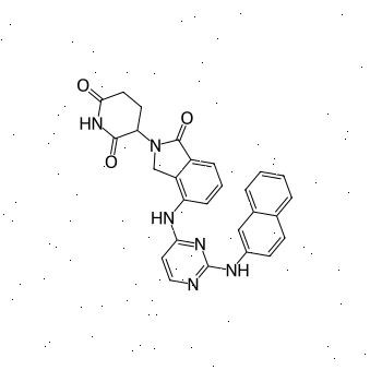 O=C1CCC(N2Cc3c(Nc4ccnc(Nc5ccc6ccccc6c5)n4)cccc3C2=O)C(=O)N1